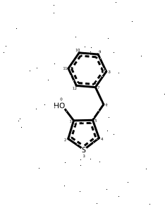 Oc1cscc1Cc1ccccc1